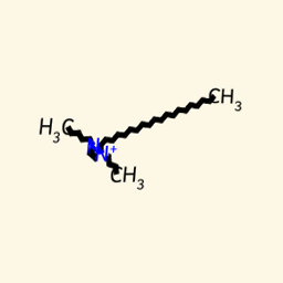 CCCCCCCCCCCCCCCCCCCc1n(CCCCC)cc[n+]1CCCC